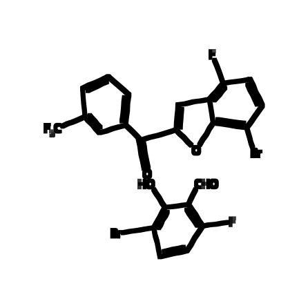 O=C(c1cccc(C(F)(F)F)c1)c1cc2c(F)ccc(Br)c2o1.O=Cc1c(F)ccc(Br)c1O